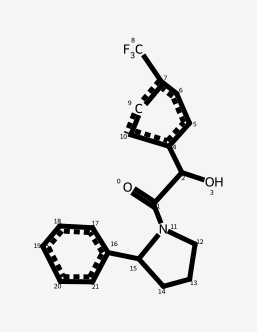 O=C(C(O)c1ccc(C(F)(F)F)cc1)N1CCCC1c1ccccc1